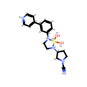 N#CN1CC[C@H](N2CCN(c3cccc(-c4ccncc4)c3)S2(O)O)C1